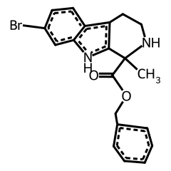 CC1(C(=O)OCc2ccccc2)NCCc2c1[nH]c1cc(Br)ccc21